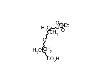 CCN1CC(=O)N(CCCCC(C)(C)CCCCOCCCCC(C)(C)CCCCC(=O)O)C1=O